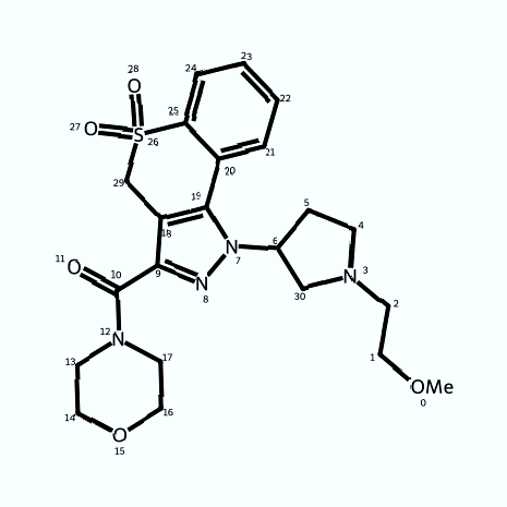 COCCN1CCC(n2nc(C(=O)N3CCOCC3)c3c2-c2ccccc2S(=O)(=O)C3)C1